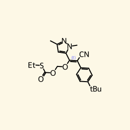 CCSC(=O)OCO/C(=C(/C#N)c1ccc(C(C)(C)C)cc1)c1cc(C)nn1C